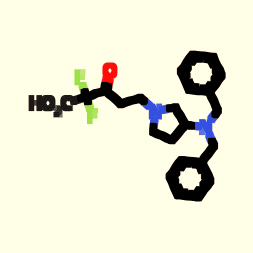 O=C(O)C(F)(F)C(=O)CCN1CCC(N(Cc2ccccc2)Cc2ccccc2)C1